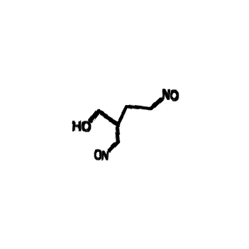 O=NCCC(CO)CN=O